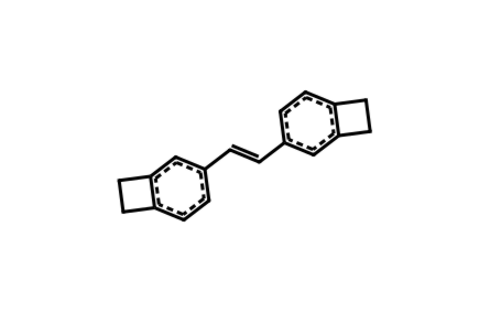 C(=Cc1ccc2c(c1)CC2)c1ccc2c(c1)CC2